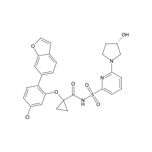 O=C(NS(=O)(=O)c1cccc(N2CC[C@H](O)C2)n1)C1(Oc2cc(Cl)ccc2-c2ccc3ccoc3c2)CC1